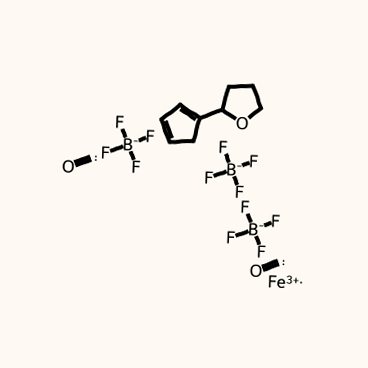 C1=CCC(C2CCCO2)=C1.F[B-](F)(F)F.F[B-](F)(F)F.F[B-](F)(F)F.[C]=O.[C]=O.[Fe+3]